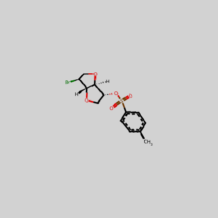 Cc1ccc(S(=O)(=O)O[C@@H]2CO[C@H]3[C@H]2OC[C@@H]3Br)cc1